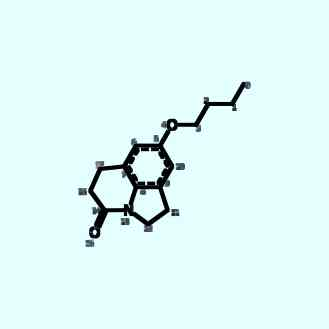 CCCCOc1cc2c3c(c1)CCN3C(=O)CC2